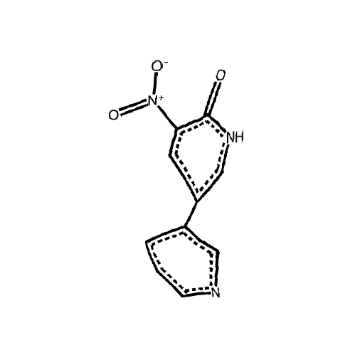 O=c1[nH]cc(-c2cccnc2)cc1[N+](=O)[O-]